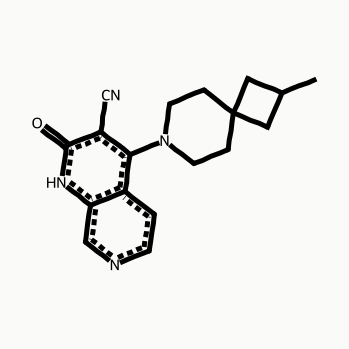 CC1CC2(CCN(c3c(C#N)c(=O)[nH]c4cnccc34)CC2)C1